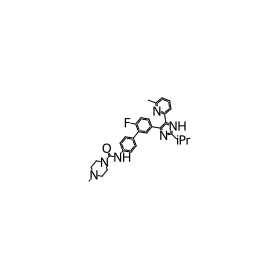 Cc1cccc(-c2[nH]c(C(C)C)nc2-c2ccc(F)c(-c3ccc(NC(=O)N4CCN(C)CC4)cc3)c2)n1